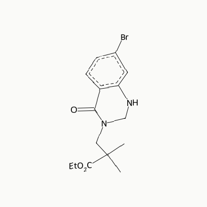 CCOC(=O)C(C)(C)CN1CNc2cc(Br)ccc2C1=O